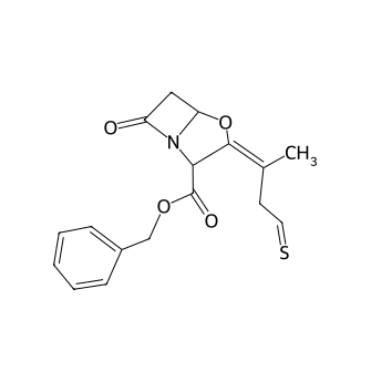 CC(CC=S)=C1OC2CC(=O)N2C1C(=O)OCc1ccccc1